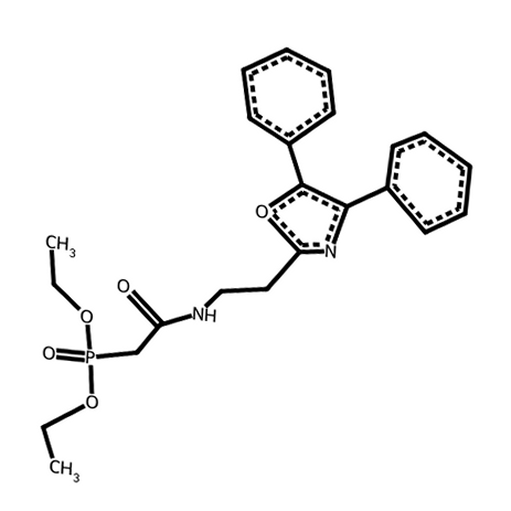 CCOP(=O)(CC(=O)NCCc1nc(-c2ccccc2)c(-c2ccccc2)o1)OCC